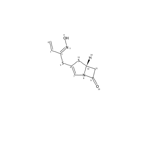 C=CC(=NO)SC1=CN2C(=O)C[C@H]2S1